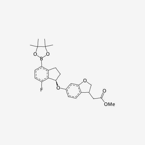 COC(=O)CC1COc2cc(O[C@@H]3CCc4c(B5OC(C)(C)C(C)(C)O5)ccc(F)c43)ccc21